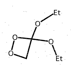 CCOC1(OCC)COO1